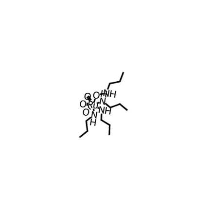 CCCN[O][Ru](=[O])(=[O])(=[O])([NH]CCC)([NH]CCC)[NH]CCC